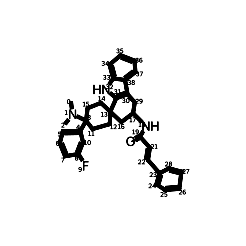 CN(C)C1(c2cccc(F)c2)CCC2(CC1)CC(NC(=O)C=Cc1ccccc1)Cc1c2[nH]c2ccccc12